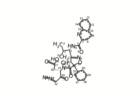 CC(C)[C@H](NC(=O)c1ccc2ccccc2n1)C1=NOC(C(=O)N(C)[C@@H](CC(=O)O)C(=O)C=[N+]=[N-])(c2ccccc2)C1